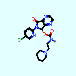 CCN(CCN1CCCCC1)C(=O)O[C@H]1c2nccnc2C(=O)N1c1ccc(Cl)cn1